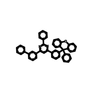 c1ccc(-c2cccc(-c3cc(-c4cccc(C5(c6ccccc6)c6ccccc6Oc6ccccc65)c4)nc(-c4ccccc4)n3)c2)cc1